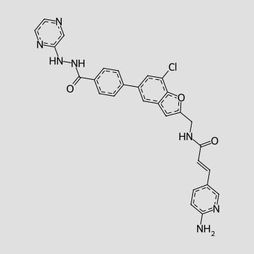 Nc1ccc(/C=C/C(=O)NCc2cc3cc(-c4ccc(C(=O)NNc5cnccn5)cc4)cc(Cl)c3o2)cn1